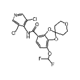 O=C(Nc1c(Cl)cncc1Cl)c1ccc(OC(F)F)c2c1OC1(CCOCC1)O2